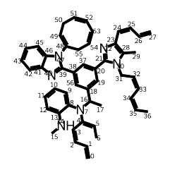 C=C/C=C\C(=C/C)N(c1ccccc1NC)C(C)c1cc(-c2nc(/C=C\C=C)c(C)n2C/C=C\C=C/C)cc(-c2nc3ccccc3n2/C2=C/C/C=C\C=C/C2)c1